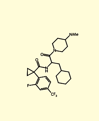 CNC1CCN(C(=O)C(CC2CCCCC2)NC(=O)C2(c3ccc(C(F)(F)F)cc3F)CC2)CC1